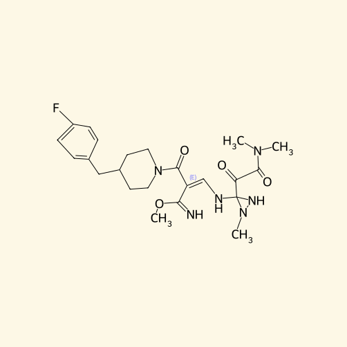 COC(=N)/C(=C\NC1(C(=O)C(=O)N(C)C)NN1C)C(=O)N1CCC(Cc2ccc(F)cc2)CC1